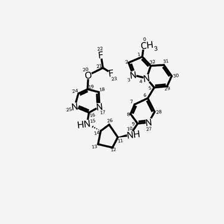 Cc1cnn2c(-c3ccc(N[C@H]4CC[C@H](Nc5ncc(OC(F)F)cn5)C4)nc3)cccc12